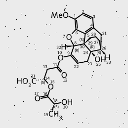 COc1ccc2c3c1O[C@H]1C(OC(=O)C[C@H](OC(=O)[C@H](C)O)C(=O)O)=CC[C@@]4(O)[C@H](CCC[C@]314)C2